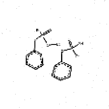 CCOP(=S)(CC)Sc1ccccc1.CCP(=O)(S)Oc1ccccc1